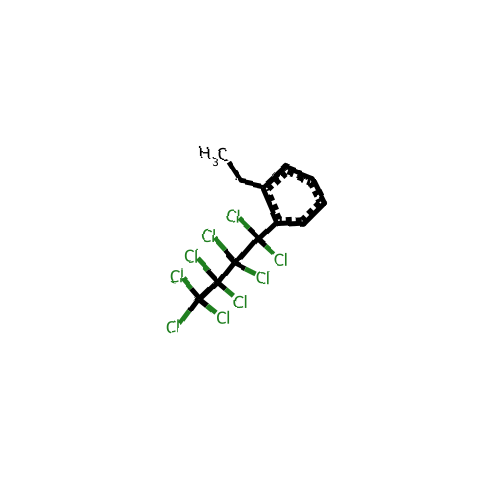 C[CH]c1ccccc1C(Cl)(Cl)C(Cl)(Cl)C(Cl)(Cl)C(Cl)(Cl)Cl